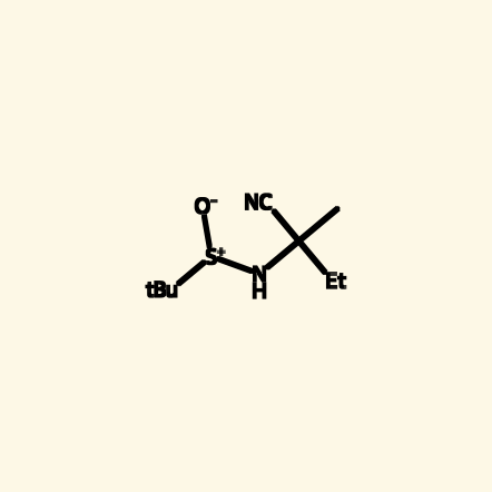 CCC(C)(C#N)N[S+]([O-])C(C)(C)C